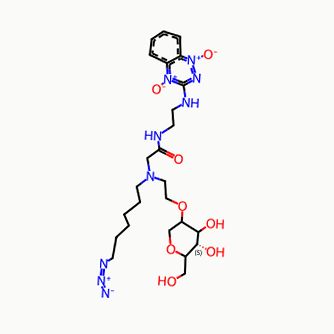 [N-]=[N+]=NCCCCCCN(CCOC1COC(CO)[C@@H](O)C1O)CC(=O)NCCNc1n[n+]([O-])c2ccccc2[n+]1[O-]